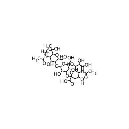 CC(=O)NC1C(O)CC(OC2C(O)C(CO)OC(OC3C(CO)OC(C(C)(C)C)C(NC(C)=O)C3O)C2O)(C(=O)O)OC1C(O)C(O)CO